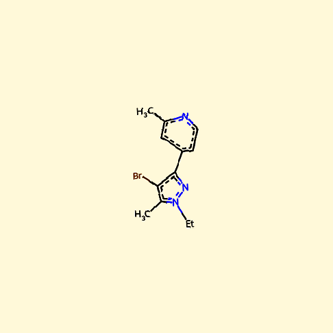 CCn1nc(-c2ccnc(C)c2)c(Br)c1C